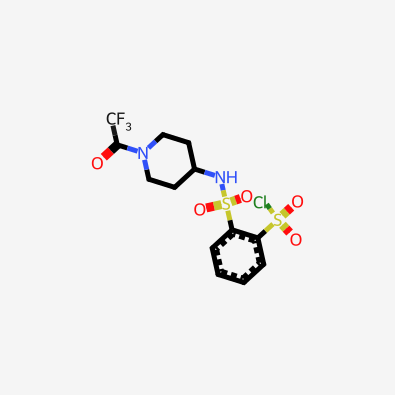 O=C(N1CCC(NS(=O)(=O)c2ccccc2S(=O)(=O)Cl)CC1)C(F)(F)F